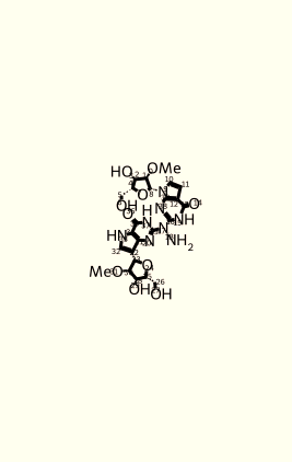 CO[C@@H]1[C@H](O)[C@@H](CO)O[C@H]1n1ccc2c(=O)[nH]c(N(N)c3nc4c([C@@H]5O[C@H](CO)[C@@H](O)[C@H]5OC)c[nH]c4c(=O)[nH]3)nc21